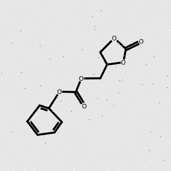 O=C(OCC1COC(=O)O1)Oc1ccccc1